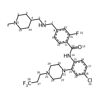 CN1CCC(CNCc2ccc(C(=O)Nc3ccc(Cl)cc3N3CCN(CCC(F)(F)F)CC3)c(F)c2)CC1